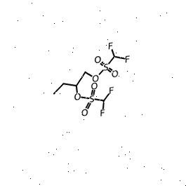 CCC(COS(=O)(=O)C(F)F)OS(=O)(=O)C(F)F